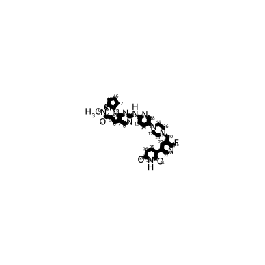 CN(C)C(=O)c1cc2cnc(Nc3ccc(N4CCN(Cc5cc(C6CCC(=O)NC6=O)cnc5F)CC4)cn3)nc2n1C1CCCC1